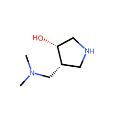 CN(C)C[C@H]1CNC[C@H]1O